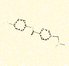 CN(C)Cc1ccc(C(=O)Nc2ccc(N)cc2)cc1